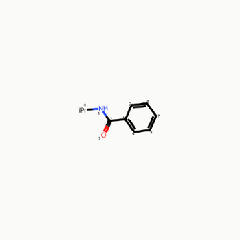 CC(C)NC(=O)c1[c]cccc1